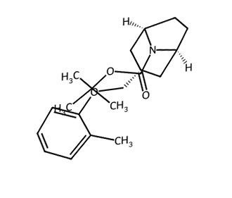 Cc1ccccc1OC[C@@H]1C[C@H]2CC[C@@H](C1)N2C(=O)OC(C)(C)C